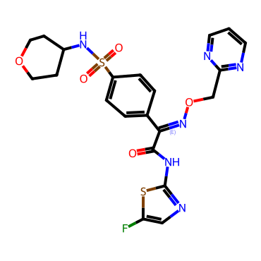 O=C(Nc1ncc(F)s1)/C(=N/OCc1ncccn1)c1ccc(S(=O)(=O)NC2CCOCC2)cc1